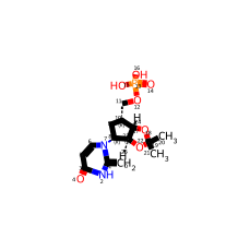 C=C1NC(=O)C=CN1[C@@H]1C[C@H](COP(=O)(O)O)[C@H]2OC(C)(C)O[C@H]21